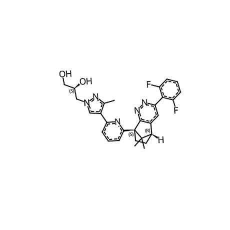 Cc1nn(C[C@H](O)CO)cc1-c1cccc([C@@]23CC[C@@H](c4cc(-c5c(F)cccc5F)nnc42)C3(C)C)n1